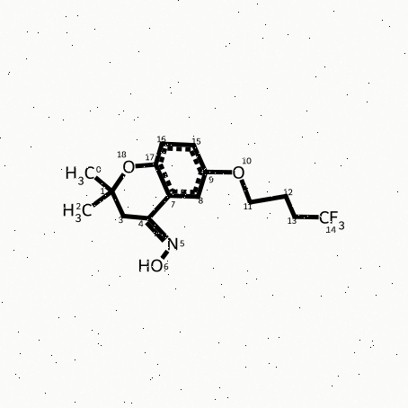 CC1(C)CC(=NO)c2cc(OCCCC(F)(F)F)ccc2O1